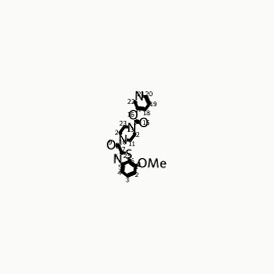 COc1cccc2nc(C(=O)N3CCN(C(=O)Oc4cccnc4)CC3)sc12